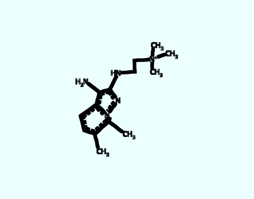 Cc1ccc2c(N)c(NCC[N+](C)(C)C)nn2c1C